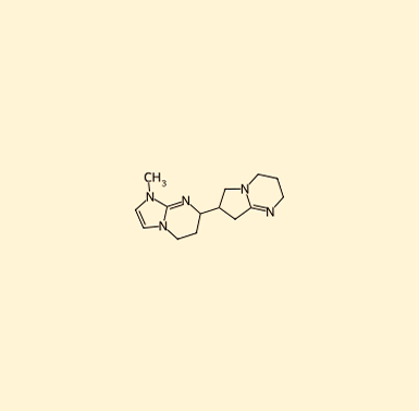 CN1C=CN2CCC(C3CC4=NCCCN4C3)N=C12